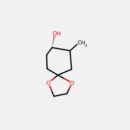 CC1CC2(CC[C@@H]1O)OCCO2